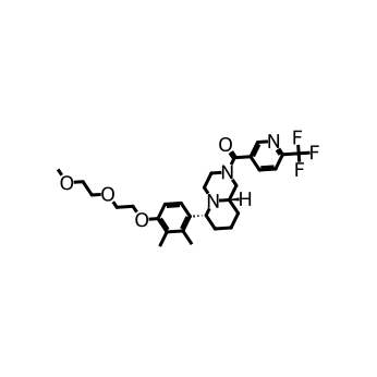 COCCOCCOc1ccc([C@H]2CCC[C@H]3CN(C(=O)c4ccc(C(F)(F)F)nc4)CCN32)c(C)c1C